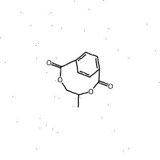 CC1COC(=O)c2ccc(cc2)C(=O)O1